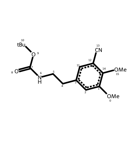 COc1cc(CCNC(=O)OC(C)(C)C)cc(C#N)c1OC